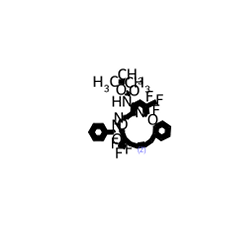 CC(C)(C)OC(=O)Nc1cc(C(F)(F)F)c2nc1-c1nnc(o1)C(OCc1ccccc1)(C(F)(F)F)C/C=C\Cc1ccccc1O2